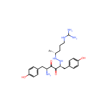 CC(=O)[C@H](CCCNC(N)N)NN[C@@H](Cc1ccc(O)cc1)C(=O)C(=O)[C@@H](N)Cc1ccc(O)cc1